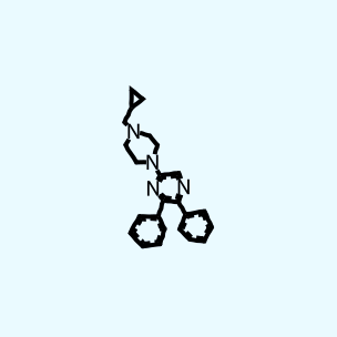 c1ccc(-c2ncc(N3CCN(CC4CC4)CC3)nc2-c2ccccc2)cc1